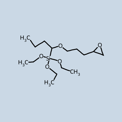 CCCC(OCCCC1CO1)[Si](OCC)(OCC)OCC